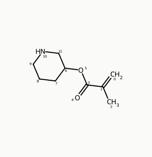 C=C(C)C(=O)OC1CCCNC1